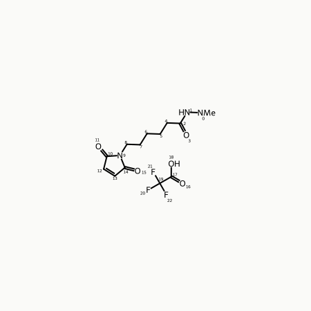 CNNC(=O)CCCCCN1C(=O)C=CC1=O.O=C(O)C(F)(F)F